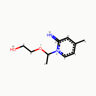 Cc1ccn(C(C)OCCO)c(=N)c1